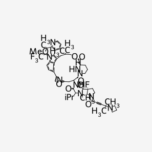 CO[C@@H](C)c1ncccc1-c1c2c3cc(ccc3n1CC(F)(F)F)-c1coc(n1)C[C@H](NC(=O)C(C(C)C)N(C)C(=O)[C@@]1(F)CCN(C(=O)C#CC(C)(C)N3CCC3)C1)C(=O)N1CCC[C@H](N1)C(=O)OCC(C)(C)C2